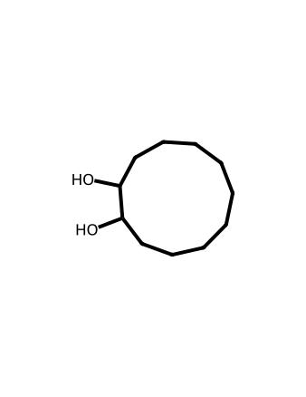 OC1CCCCCCCCCC1O